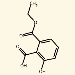 CCOC(=O)c1cccc(O)c1C(=O)O